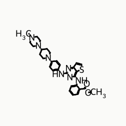 COC(=O)c1ccccc1Nc1nc(Nc2ccc(N3CCC(N4CCN(C)CC4)CC3)cc2)nc2ccsc12